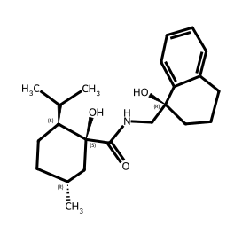 CC(C)[C@@H]1CC[C@@H](C)C[C@@]1(O)C(=O)NC[C@@]1(O)CCCc2ccccc21